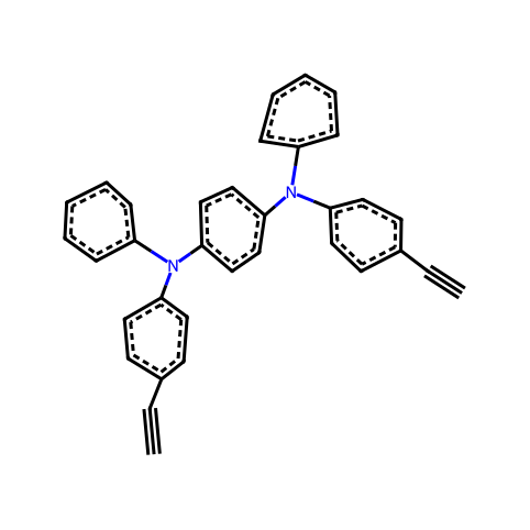 C#Cc1ccc(N(c2ccccc2)c2ccc(N(c3ccccc3)c3ccc(C#C)cc3)cc2)cc1